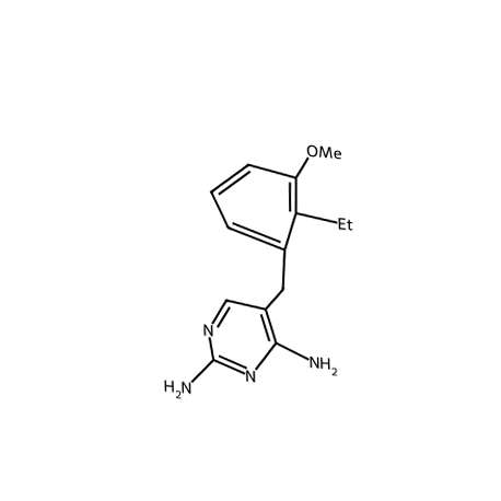 CCc1c(Cc2cnc(N)nc2N)cccc1OC